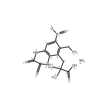 CCc1c([N+](=O)[O-])cc2[nH]c(=O)c(=O)[nH]c2c1CC(C)(N)C(=O)O.N